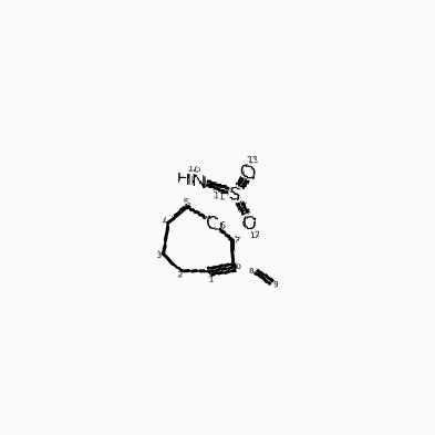 C1#CCCCCCC1.C=C.N=S(=O)=O